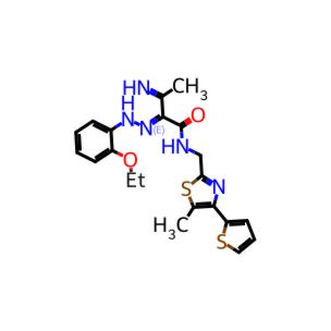 CCOc1ccccc1N/N=C(\C(C)=N)C(=O)NCc1nc(-c2cccs2)c(C)s1